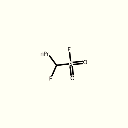 CCCC(F)S(=O)(=O)F